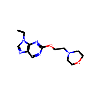 CCn1cnc2cnc(OCCN3CCOCC3)nc21